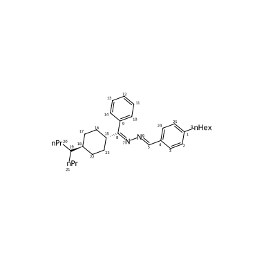 CCCCCCc1ccc(C=NN=C(c2ccccc2)[C@H]2CC[C@H](C(CCC)CCC)CC2)cc1